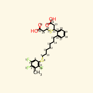 Cc1c(F)c(F)cc(SCCCCCCCc2ccccc2C(CC(=O)O)SCCC(=O)O)c1F